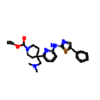 CN(C)CC1(c2cccc(Nc3ncc(-c4ccccc4)s3)n2)CCN(C(=O)OC(C)(C)C)CC1